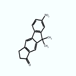 CC1(C)c2cc([N+](=O)[O-])ccc2-c2cc3c(cc21)C(=O)CC3